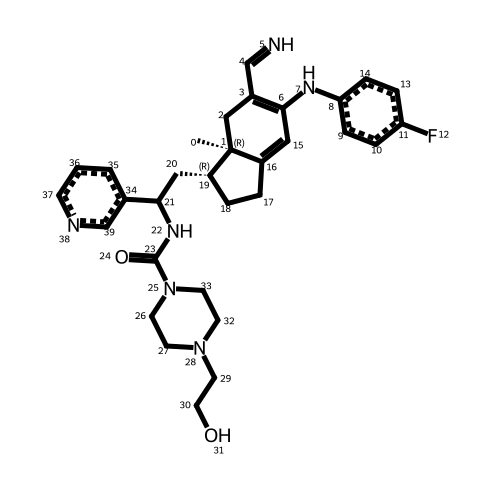 C[C@]12CC(C=N)=C(Nc3ccc(F)cc3)C=C1CC[C@@H]2CC(NC(=O)N1CCN(CCO)CC1)c1cccnc1